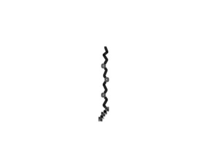 CCCCOCCOCCOCCN=[N+]=[N-]